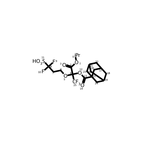 CC(C)OC(=O)C(OCCC(F)(F)S(=O)(=O)O)(OC(=O)C12CC3CC(CC(C3)C1)C2)C(F)(F)F